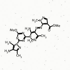 COC(=O)c1cnn(C)c1/N=N/C(C(C)=N)=C(\N)N(C)c1nc(OC)nc(-n2nc(C)c(N)c2N)n1